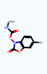 CCCCCCNC(=O)On1c(=O)oc2cc(C(C)=O)ccc21